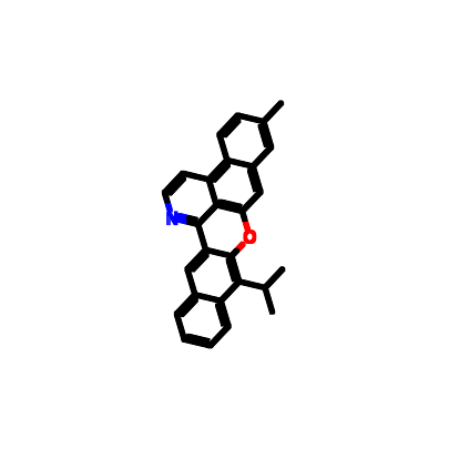 Cc1ccc2c(c1)cc1c3c(nccc32)-c2cc3ccccc3c(C(C)C)c2O1